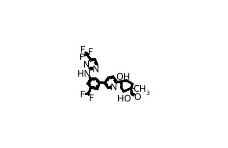 C[C@]1(C(=O)O)CC[C@](O)(c2ccc(-c3cc(Nc4nccc(C(F)(F)F)n4)cc(C(F)F)c3)cn2)CC1